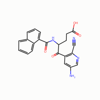 N#Cc1ncc(N)cc1C(=O)C(CCC(=O)O)NC(=O)c1cccc2ccccc12